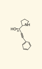 O[C@H](C#Cc1ccccc1)C1CCCN1